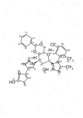 Cc1nnc([C@@H]2O[C@@H]3COC(c4ccccc4)O[C@@H]3[C@H](n3cc(-c4csc(O)n4)nn3)[C@H]2O)n1-c1cc(Cl)ccc1C(F)(F)F